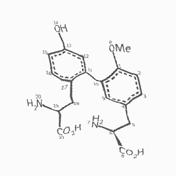 COc1ccc(C[C@H](N)C(=O)O)cc1-c1cc(O)ccc1CC(N)C(=O)O